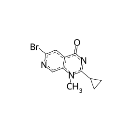 Cn1c(C2CC2)nc(=O)c2cc(Br)ncc21